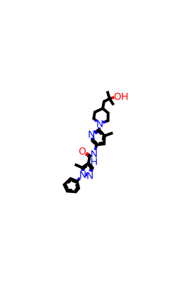 Cc1cc(NC(=O)c2cnn(-c3ccccc3)c2C)cnc1N1CCC(CC(C)(C)O)CC1